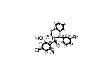 O=C(O)[C@H](Cc1ccccc1)N(Cc1cccc(Br)c1)C(=O)c1ccc(Cl)cc1I